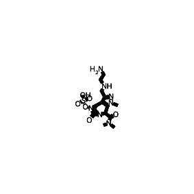 CN(C)C(=O)C1c2c(c(CNCCN)nn2C)C2CN1C(=O)N2OS(=O)(=O)O